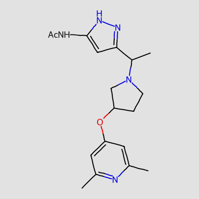 CC(=O)Nc1cc(C(C)N2CCC(Oc3cc(C)nc(C)c3)C2)n[nH]1